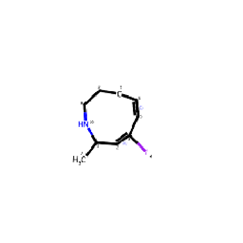 CC1/C=C(I)\C=C/CCCN1